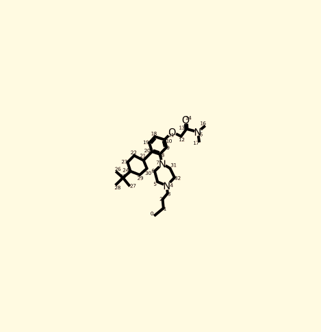 CCCCN1CCN(c2cc(OCC(=O)N(C)C)ccc2C2CCC(C(C)(C)C)CC2)CC1